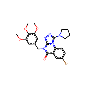 COc1cc(Cn2c(=O)c3cc(Br)ccc3n3c(N4CCCC4)nnc23)cc(OC)c1OC